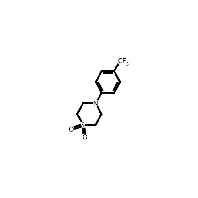 O=S1(=O)CCN(c2ccc(C(F)(F)F)cc2)CC1